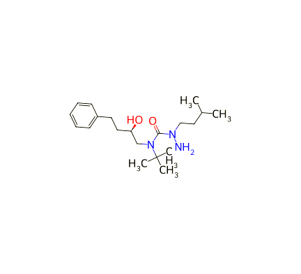 CC(C)CCN(N)C(=O)N(C[C@H](O)CCc1ccccc1)C(C)(C)C